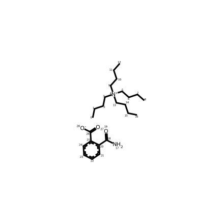 CCCC[N+](CCCC)(CCCC)CCCC.NC(=O)c1ccccc1C(=O)[O-]